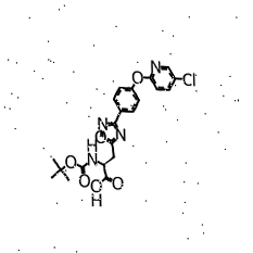 CC(C)(C)OC(=O)N[C@@H](Cc1nc(-c2ccc(Oc3ccc(Cl)cn3)cc2)no1)C(=O)O